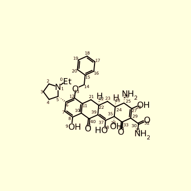 CCN1CCC[C@H]1c1cc(O)c2c(c1OCc1ccccc1)C[C@H]1C[C@H]3[C@H](N)C(O)=C(C(N)=O)C(=O)[C@@]3(O)C(O)=C1C2=O